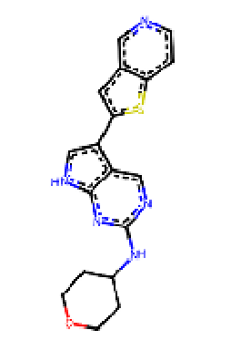 c1cc2sc(-c3c[nH]c4nc(NC5CCOCC5)ncc34)cc2cn1